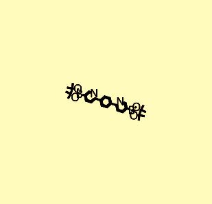 CC1(C)OB(c2ccc(-c3ccc(-c4ccc(B5OC(C)(C)C(C)(C)O5)cn4)cc3)nc2)OC1(C)C